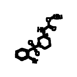 CC(C)(C)OC(=O)N[C@H]1CCCN(S(=O)(=O)c2ccccc2Br)C1